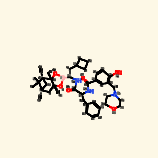 CC1(C)[C@@H]2C[C@H]3OB([C@H](CC4CCC4)NC(=O)[C@H](Cc4ccccc4)NC(=O)c4ccc(O)c(CN5CCOCC5)c4)O[C@@]3(C)[C@H]1C2